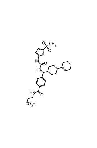 CS(=O)(=O)c1ccc(NC(=O)NC(c2ccc(C(=O)NCCC(=O)O)cc2)C2CCC(C3=CCCCC3)CC2)s1